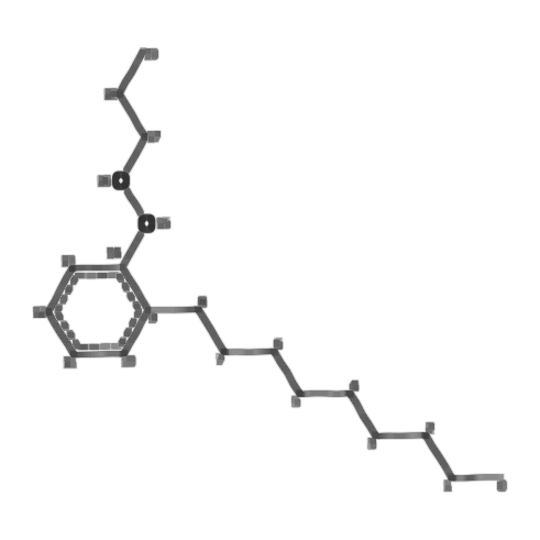 CCCCCCCCCc1ccccc1OOCCC